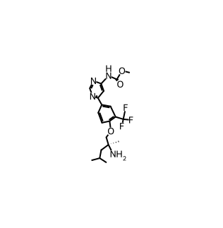 COC(=O)Nc1cc(-c2ccc(OC[C@@](C)(N)CC(C)C)c(C(F)(F)F)c2)ncn1